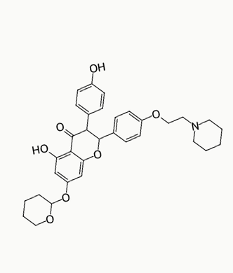 O=C1c2c(O)cc(OC3CCCCO3)cc2OC(c2ccc(OCCN3CCCCC3)cc2)C1c1ccc(O)cc1